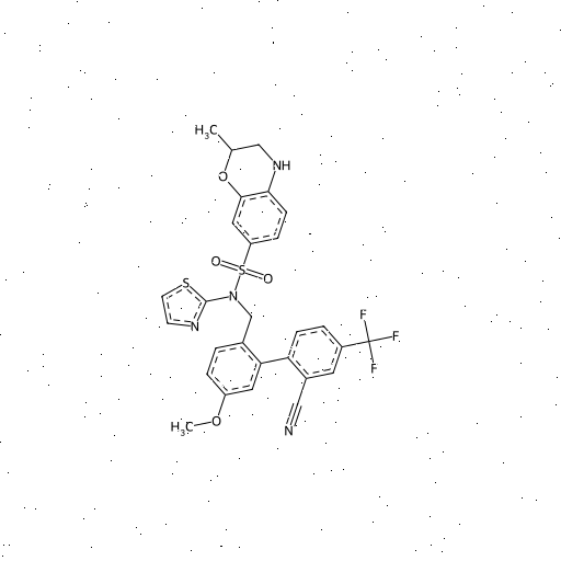 COc1ccc(CN(c2nccs2)S(=O)(=O)c2ccc3c(c2)OC(C)CN3)c(-c2ccc(C(F)(F)F)cc2C#N)c1